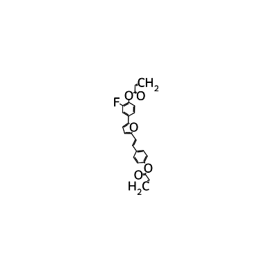 C=CC(=O)Oc1ccc(/C=C/c2ccc(-c3ccc(OC(=O)C=C)c(F)c3)o2)cc1